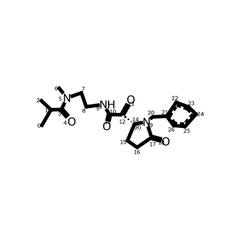 CC(C)C(=O)N(C)CCNC(=O)C(=O)[C@H]1CCC(=O)N1Cc1ccccc1